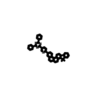 CC1(C)c2ccccc2-c2ccc3c(ccc4ccc5cc(-c6ccc(-c7nc(-c8ccccc8)nc(-c8ccccc8)n7)cn6)ccc5c43)c21